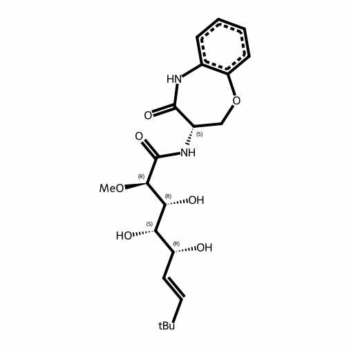 CO[C@@H](C(=O)N[C@H]1COc2ccccc2NC1=O)[C@H](O)[C@@H](O)[C@H](O)C=CC(C)(C)C